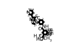 Cc1ccc(NC(=O)c2cc(C(C)(C)O)cc(S(F)(F)(F)(F)F)c2)cc1-n1ccn2nc(-c3cccnc3)c(F)c12